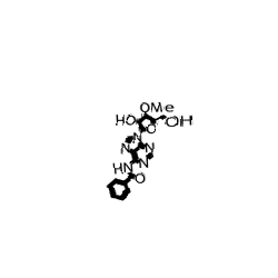 CO[C@H]1[C@@H](O)[C@H](n2cnc3c(NC(=O)c4ccccc4)ncnc32)O[C@@H]1CO